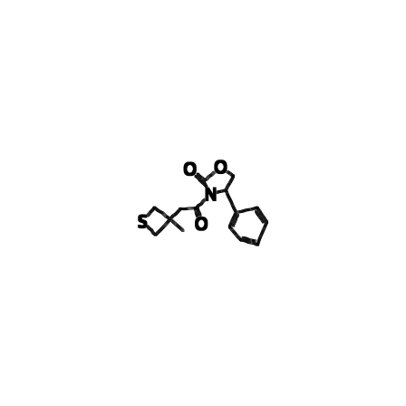 CC1(CC(=O)N2C(=O)OCC2c2ccccc2)CSC1